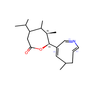 CC1\C=C([C@H]2OC(=O)CC(C(C)C)C(C)[C@H]2C)/C=N\C=C\C1